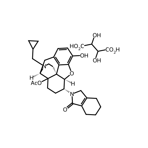 CC(=O)OC12CC[C@@H](N3CC4=C(CCCC4)C3=O)[C@@H]3Oc4c(O)ccc5c4[C@@]31CCN(CC1CC1)[C@@H]2C5.O=C(O)C(O)C(O)C(=O)O